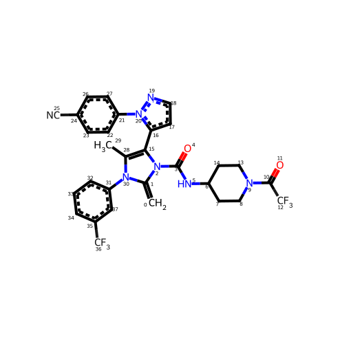 C=C1N(C(=O)NC2CCN(C(=O)C(F)(F)F)CC2)C(c2ccnn2-c2ccc(C#N)cc2)=C(C)N1c1cccc(C(F)(F)F)c1